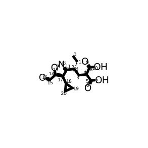 CC[C@H](CC(C(=O)O)C(=O)O)c1noc(C=O)c1C1CC1